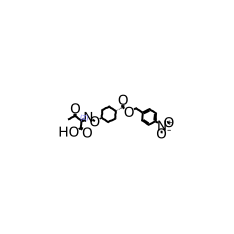 CC(=O)/C(=N/O[C@H]1CC[C@H](C(=O)OCc2ccc([N+](=O)[O-])cc2)CC1)C(=O)O